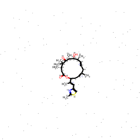 C/C1=C/CC(/C(C)=C/c2csc(C)n2)OC(=O)C[C@H](C)C(C)(C)C(=O)[C@H](C)[C@@H](O)[C@@H](C)/C=C/C1